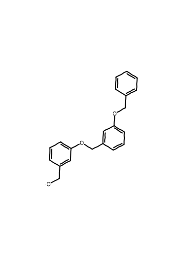 [O]Cc1cccc(OCc2cccc(OCc3ccccc3)c2)c1